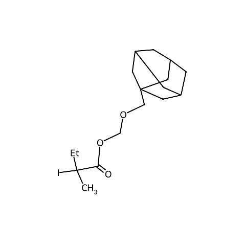 CCC(C)(I)C(=O)OCOCC12CC3CC(CC(C3)C1)C2